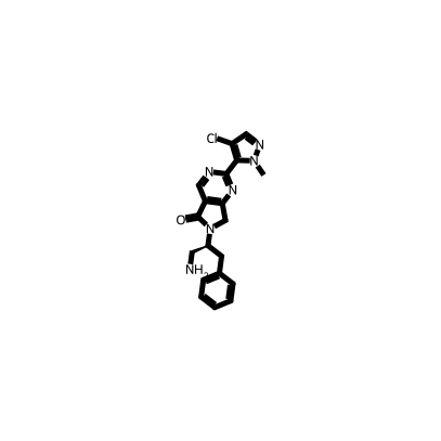 Cn1ncc(Cl)c1-c1ncc2c(n1)CN([C@H](CN)Cc1ccccc1)C2=O